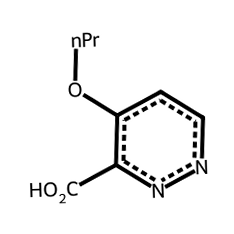 CCCOc1ccnnc1C(=O)O